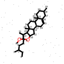 CCC(C)CCC1(OC)OC2CC3C4CC=C5CC(C)CCC5(C)C4CCC3(C)C2C1C